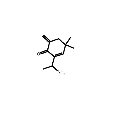 C=C1CC(C)(C)C=C(C(C)N)C1=O